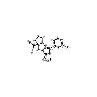 O=C(O)c1nn(-c2c[n+]([O-])ccn2)c2c1CC1(C(F)F)CCCC21